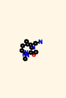 N#Cc1ccc(-c2cc3c4ccccc4c(-c4cccc(-c5cccc(-c6nc(-c7ccccc7)nc(-c7ccc8c(c7)oc7ccccc78)n6)c5)c4)cc3c3cccnc23)cc1